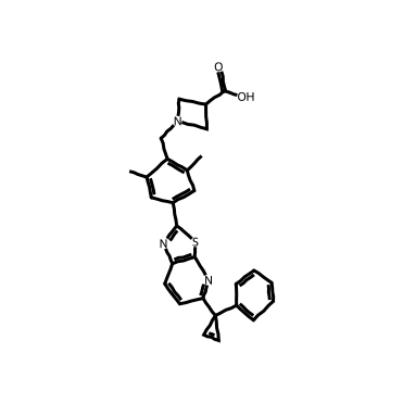 Cc1cc(-c2nc3ccc(C4(c5ccccc5)C=C4)nc3s2)cc(C)c1CN1CC(C(=O)O)C1